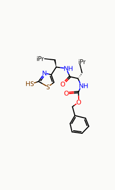 CC(C)C[C@H](NC(=O)OCc1ccccc1)C(=O)N[C@H](CC(C)C)c1csc(S)n1